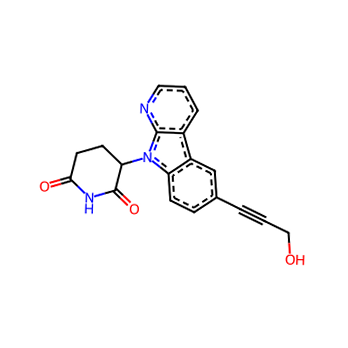 O=C1CCC(n2c3ccc(C#CCO)cc3c3cccnc32)C(=O)N1